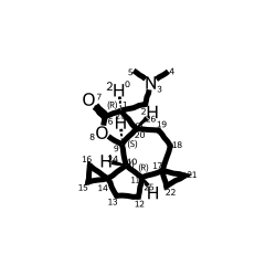 [2H][C@@]1(CN(C)C)C(=O)O[C@@H]2[C@@H]3[C@@H](CCC34CC4)C3(CC[C@H]21)CC3